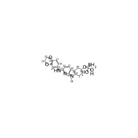 BC(O)(O)OC1CCc2c(c3ccc(Nc4ccc5c(c4)OCCO5)nc3n2C)C1